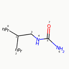 CCCC(CCC)CNC(N)=O